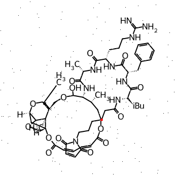 CC[C@H](C)[C@H](NC(=O)CCCCCN1C(=O)C=CC1=O)C(=O)N[C@@H](Cc1ccccc1)C(=O)N[C@@H](CCCNC(=N)N)C(=O)N[C@@H](C)C(=O)N[C@H]1C(O)OC[C@]23CCC(C)=CC2O[C@@H]2C[C@@H](OC(=O)/C=C\C=C\C(=O)OCC[C@H]1C)[C@@]3(C)[C@]21CO1